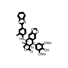 COc1cc([C@@H]2c3cc4c(cc3[C@@H](Nc3ccc(-c5nc6ccccc6s5)cc3C)[C@H]3COC(=O)[C@H]23)OCO4)cc(OC)c1O